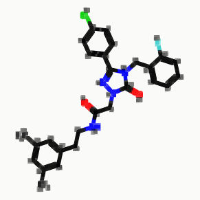 O=C(Cn1nc(-c2ccc(Cl)cc2)n(Cc2ccccc2F)c1=O)NCCc1cc(C(F)(F)F)cc(C(F)(F)F)c1